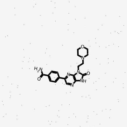 NC(=O)c1ccc(-c2cnc3[nH]c(=O)n(CCN4CCOCC4)c3n2)cc1